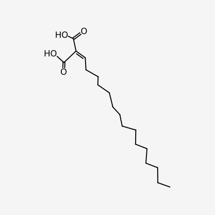 CCCCCCCCCCCCCCC=C(C(=O)O)C(=O)O